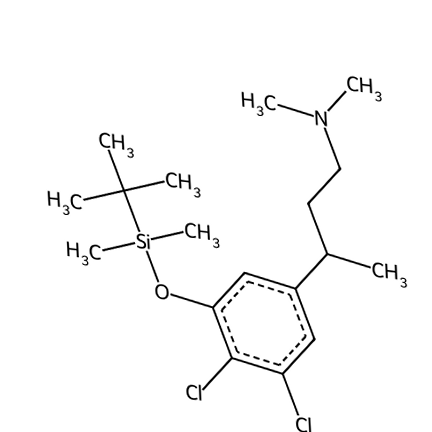 CC(CCN(C)C)c1cc(Cl)c(Cl)c(O[Si](C)(C)C(C)(C)C)c1